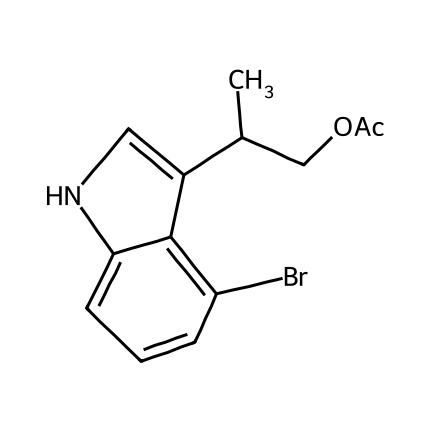 CC(=O)OCC(C)c1c[nH]c2cccc(Br)c12